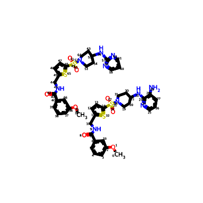 COc1cccc(C(=O)NCc2ccc(S(=O)(=O)N3CCC(Nc4ncccc4N)CC3)s2)c1.COc1cccc(C(=O)NCc2ccc(S(=O)(=O)N3CCC(Nc4ncccn4)CC3)s2)c1